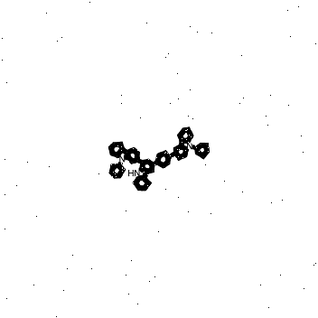 c1ccc(-n2c3ccccc3c3cc(-c4ccc(-c5cc(-c6ccc7c8ccccc8n(-c8ccccc8)c7c6)c6[nH]c7ccccc7c6c5)cc4)ccc32)cc1